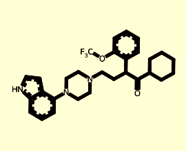 O=C(C1CCCCC1)C(CCN1CCN(c2cccc3[nH]ccc23)CC1)c1ccccc1OC(F)(F)F